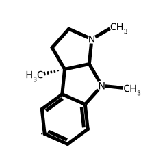 CN1CC[C@]2(C)c3c[c]ccc3N(C)C12